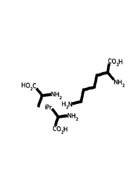 CC(C)C(N)C(=O)O.CC(N)C(=O)O.NCCCCC(N)C(=O)O